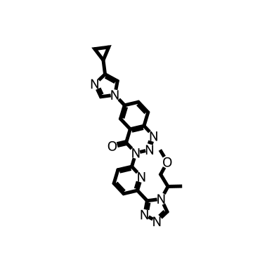 COCC(C)n1cnnc1-c1cccc(-n2nnc3ccc(-n4cnc(C5CC5)c4)cc3c2=O)n1